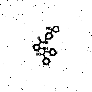 N#CC1(c2ccc(NC(=O)c3cccnc3NC(c3ccncc3)C(O)c3ccncc3)cc2)CCCC1